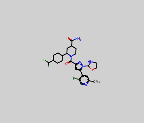 COc1cc(-c2cc(C(=O)N3CCC(C(N)=O)CC3C3CCC(C(F)F)CC3)nn2C2NCCO2)c(F)cn1